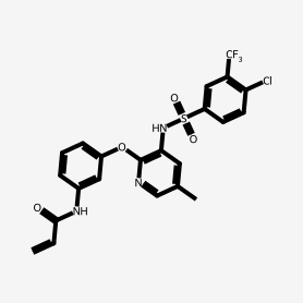 C=CC(=O)Nc1cccc(Oc2ncc(C)cc2NS(=O)(=O)c2ccc(Cl)c(C(F)(F)F)c2)c1